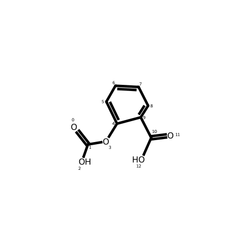 O=C(O)Oc1ccccc1C(=O)O